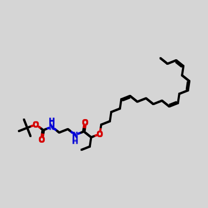 CC/C=C\C/C=C\C/C=C\CCCC/C=C\CCCCOC(CC)C(=O)NCCNC(=O)OC(C)(C)C